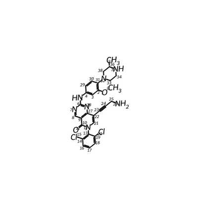 COc1cc(Nc2ncc3c(=O)n(-c4c(Cl)cccc4Cl)cc(C#CCN)c3n2)ccc1N1CCN[C@H](C)C1